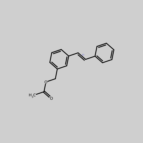 CC(=O)OCc1cccc(/C=C/c2ccccc2)c1